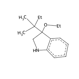 CCOC1(C(C)(C)CC)CNc2ccccc21